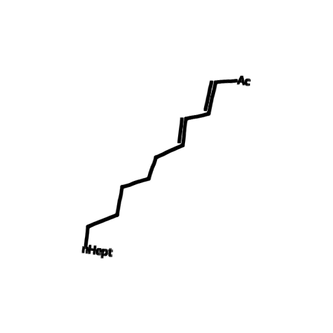 CCCCCCCCCCCCC=CC=CC(C)=O